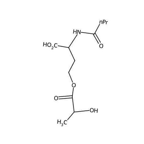 CCCC(=O)NC(CCOC(=O)C(C)O)C(=O)O